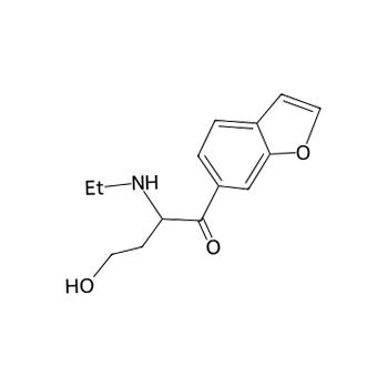 CCNC(CCO)C(=O)c1ccc2ccoc2c1